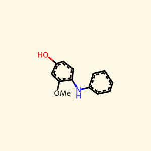 COc1cc(O)ccc1Nc1ccccc1